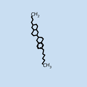 C=CCCC1CCC2CC(C3CCc4cc(CCCCCCC)ccc4C3)CCC2C1